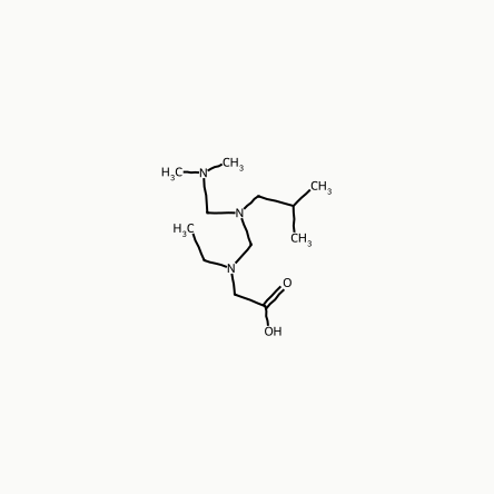 CCN(CC(=O)O)CN(CC(C)C)CN(C)C